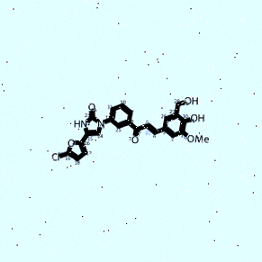 COc1cc(/C=C/C(=O)c2cccc(-n3cc(-c4ccc(Cl)o4)[nH]c3=O)c2)cc(CO)c1O